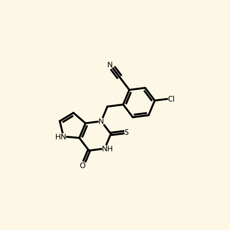 N#Cc1cc(Cl)ccc1Cn1c(=S)[nH]c(=O)c2[nH]ccc21